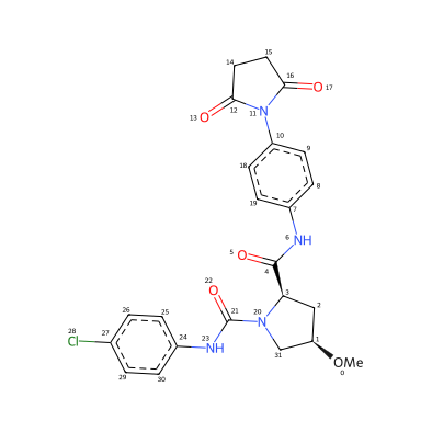 CO[C@@H]1C[C@H](C(=O)Nc2ccc(N3C(=O)CCC3=O)cc2)N(C(=O)Nc2ccc(Cl)cc2)C1